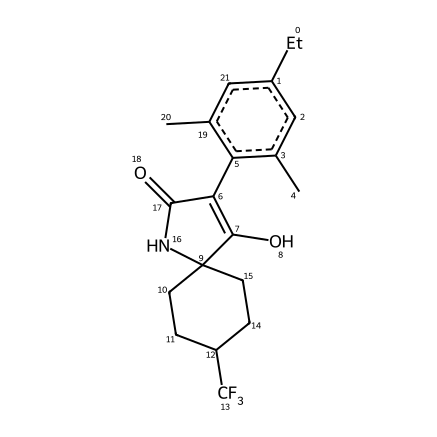 CCc1cc(C)c(C2=C(O)C3(CCC(C(F)(F)F)CC3)NC2=O)c(C)c1